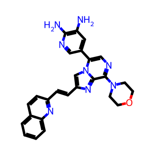 Nc1cc(-c2cnc(N3CCOCC3)c3nc(C=Cc4ccc5ccccc5n4)cn23)cnc1N